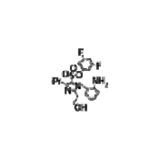 CC(C)c1nc(CCO)n(Cc2ccccc2N)c1S(=O)(=O)Oc1cc(F)cc(F)c1